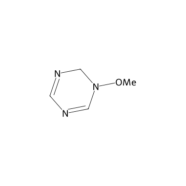 CON1C=NC=NC1